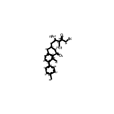 CCCC(CC1CC(=O)c2c(ccc(-c3ccc(C)cc3)c2C)C1)C(CC)C(=O)CC(C)=O